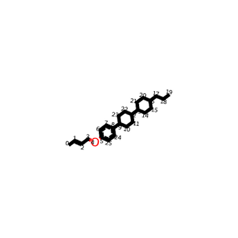 C/C=C/COc1ccc(C2CCC(C3CCC(CCC)CC3)CC2)cc1